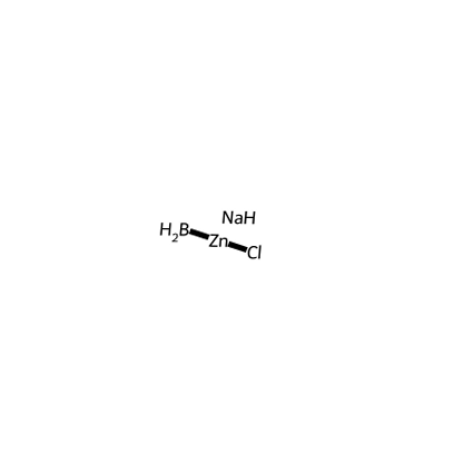 [BH2][Zn][Cl].[NaH]